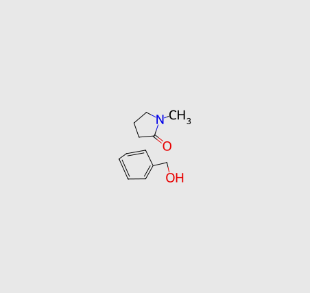 CN1CCCC1=O.OCc1ccccc1